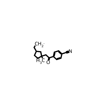 [CH2]CC1C[CH]C(C)(CC(=O)c2ccc(C#N)cc2)C1